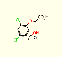 O=C(O)COc1ccc(Cl)cc1Cl.O=S(=O)(O)O.[Cu]